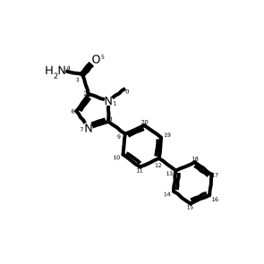 Cn1c(C(N)=O)cnc1-c1ccc(-c2ccccc2)cc1